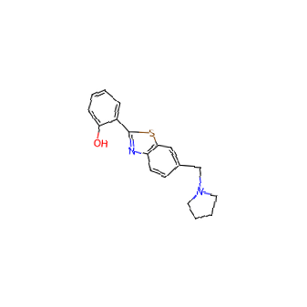 Oc1ccccc1-c1nc2ccc(CN3CCCC3)cc2s1